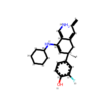 C=C/C=C1/C[C@@](C)(c2ccc(O)c(F)c2)C=C(NC2CCCCC2)/C1=C/N